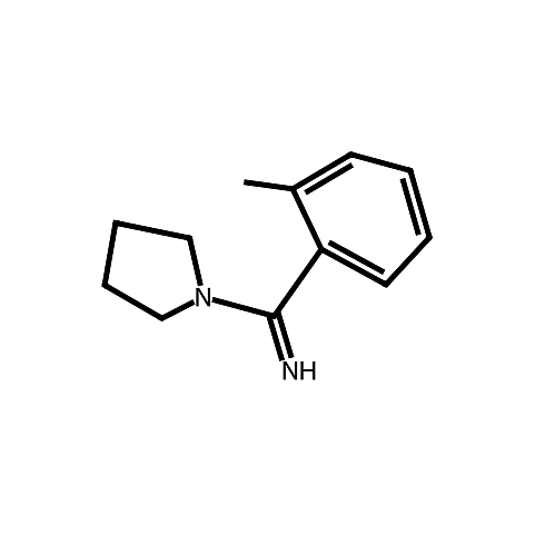 Cc1ccccc1C(=N)N1CCCC1